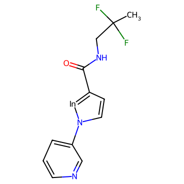 CC(F)(F)CNC(=O)[C]1=[In][N](c2cccnc2)C=C1